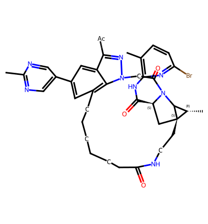 CC(=O)c1nn2c3c(cc(-c4cnc(C)nc4)cc13)CCCCCCC(=O)NCC[C@@]13C[C@@H](C(=O)Nc4nc(Br)ccc4C)N(C(=O)C2)C1[C@@H]3C